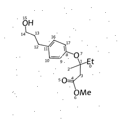 CCC(C)(CC(=O)OC)Oc1ccc(CCCO)cc1